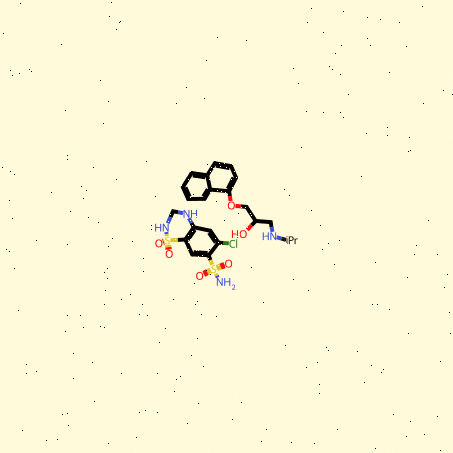 CC(C)NCC(O)COc1cccc2ccccc12.NS(=O)(=O)c1cc2c(cc1Cl)NCNS2(=O)=O